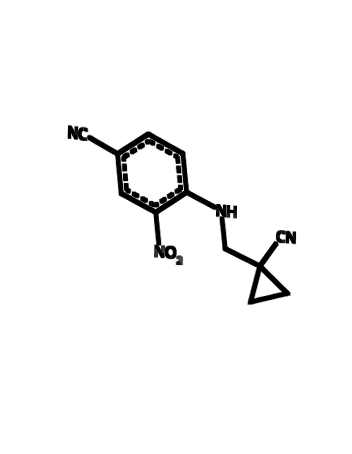 N#Cc1ccc(NCC2(C#N)CC2)c([N+](=O)[O-])c1